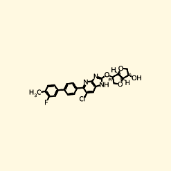 Cc1ccc(-c2ccc(-c3nc4nc(O[C@@H]5CO[C@H]6[C@@H]5OC[C@H]6O)[nH]c4cc3Cl)cc2)cc1F